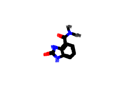 CCCN(CCC)C(=O)c1cccc2[nH]c(=O)[nH]c12